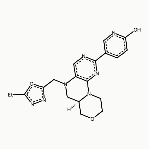 CCc1nnc(CN2C[C@@H]3COCCN3c3nc(-c4ccc(O)nc4)ncc32)o1